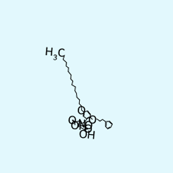 CCCCCCCCCCCCCCCCCCOc1ccc(OCCCc2ccccc2)c(C(=O)N(CC(=O)O)CC(=O)O)c1